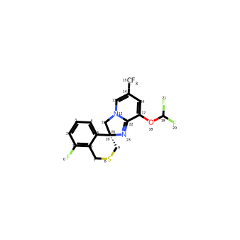 Fc1cccc2c1CSC[C@@]21CN2C=C(C(F)(F)F)C=C(OC(F)F)C2=N1